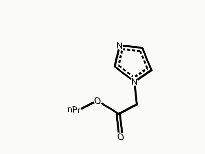 CCCOC(=O)Cn1ccnc1